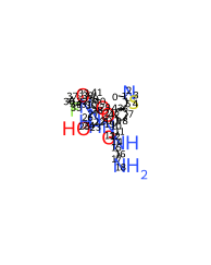 Cc1ncsc1-c1ccc([C@H](CC(=O)NCCCN)NC(=O)[C@@H]2C[C@@H](O)CN2C(=O)C(NC(=O)C2(F)CC2)C(C)(C)C)cc1